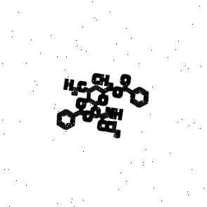 CC1[C@H](C)C(COC(=O)c2ccccc2)OC(OC(=N)C(Cl)(Cl)Cl)[C@H]1OC(=O)c1ccccc1